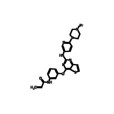 C=CC(=O)Nc1cccc(Oc2nc(Nc3ccc(N4CCN(C(C)C)CC4)nc3)nc3ccsc23)c1